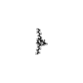 CCCCCCN1CCN(CCCCCC)C1=NC(C)C